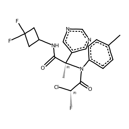 Cc1ccc(N(C(=O)[C@H](F)Cl)[C@@](C)(C(=O)NC2CC(F)(F)C2)c2cncnc2)cc1